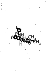 CCCCN1C(=O)CN(CC(=O)N[C@@H](Cc2cc(F)cc(F)c2)[C@H](O)CNCc2cccc(I)c2)C[C@@H]1CC